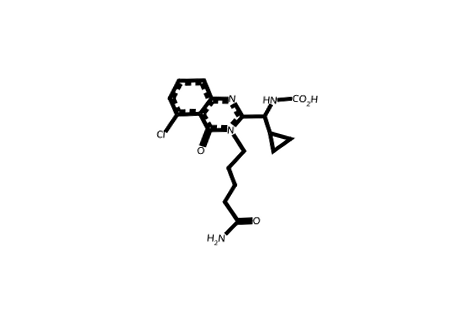 NC(=O)CCCCn1c(C(NC(=O)O)C2CC2)nc2cccc(Cl)c2c1=O